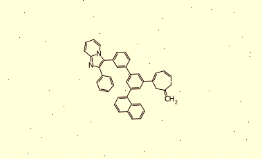 C=C1CC=CC=C(c2cc(-c3cccc(-c4c(-c5ccccc5)nc5ccccn45)c3)cc(-c3cccc4ccccc34)c2)C1